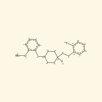 CC(C)(C)Oc1nccnc1CN1CCC(F)(CCc2ccccc2F)CC1